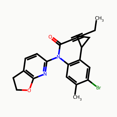 CCC#CC(=O)N(c1ccc2c(n1)OCC2)c1cc(C)c(Br)cc1C1CC1